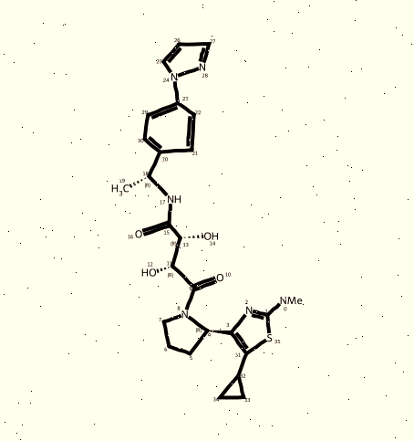 CNc1nc([C@H]2CCCN2C(=O)[C@H](O)[C@@H](O)C(=O)N[C@H](C)c2ccc(-n3cccn3)cc2)c(C2CC2)s1